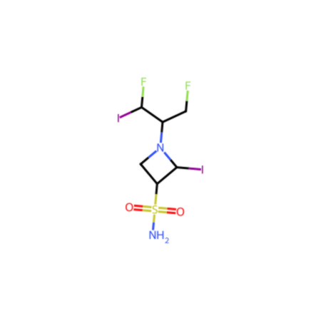 NS(=O)(=O)C1CN(C(CF)C(F)I)C1I